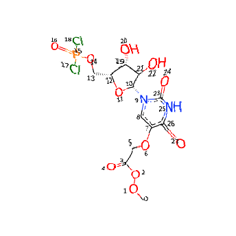 COOC(=O)COc1cn([C@@H]2O[C@H](COP(=O)(Cl)Cl)[C@H](O)C2O)c(=O)[nH]c1=O